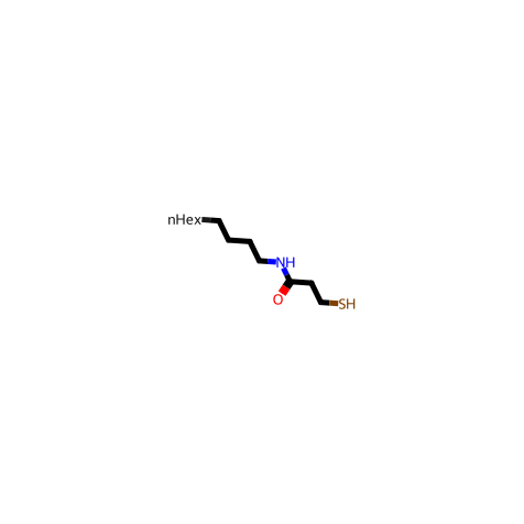 CCCCCCCCCCNC(=O)CCS